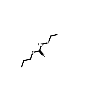 CCCSC(=S)NSCC